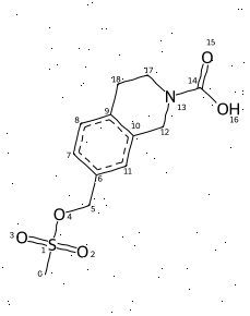 CS(=O)(=O)OCc1ccc2c(c1)CN(C(=O)O)CC2